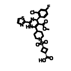 COC(=O)C1=C(C2CCN(S(=O)(=O)[C@H]3C[C@@H](C(=O)O)C3)CC2)NC(c2nccs2)=N[C@H]1c1ccc(F)cc1Cl